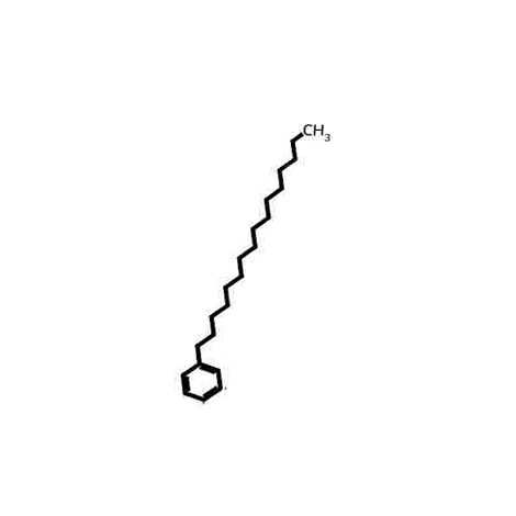 CCCCCCCCCCCCCCCCc1c[c][c]cc1